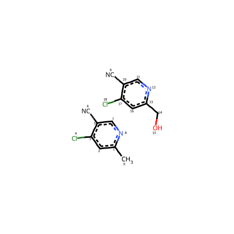 Cc1cc(Cl)c(C#N)cn1.N#Cc1cnc(CO)cc1Cl